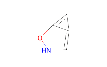 C1=C2C=C2ON1